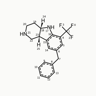 FC(F)(F)c1cc(Cc2ccccc2)cc2c1N[C@H]1CCNC[C@@H]21